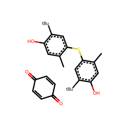 Cc1cc(O)c(C(C)(C)C)cc1Sc1cc(C(C)(C)C)c(O)cc1C.O=C1C=CC(=O)C=C1